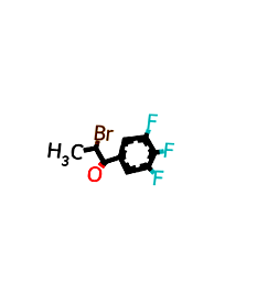 CC(Br)C(=O)c1cc(F)c(F)c(F)c1